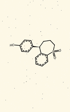 O=S1(=O)CCC[C@H](c2ccc(O)cc2)c2ccccc21